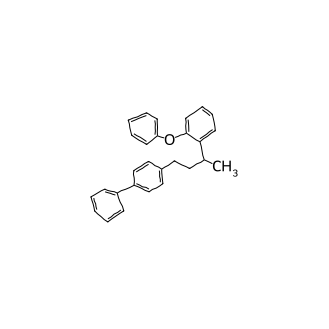 CC(CCc1ccc(-c2ccccc2)cc1)c1ccccc1Oc1ccccc1